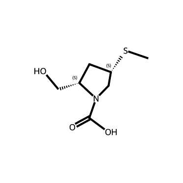 CS[C@H]1C[C@@H](CO)N(C(=O)O)C1